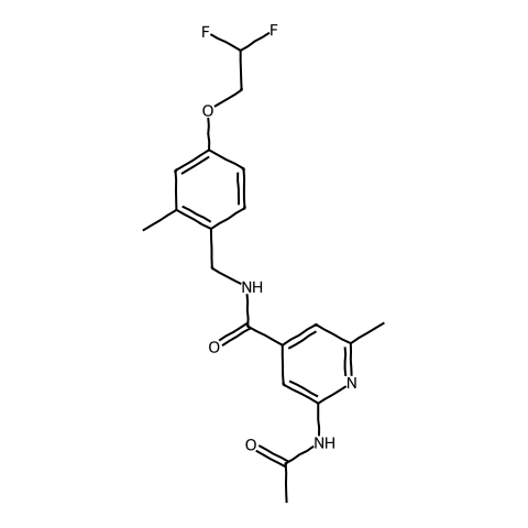 CC(=O)Nc1cc(C(=O)NCc2ccc(OCC(F)F)cc2C)cc(C)n1